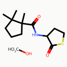 CC1(C)CCCC1(C)C(=O)NC1CCSC1=O.O=C(O)O